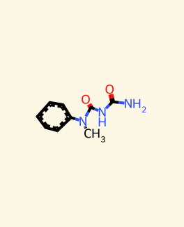 CN(C(=O)NC(N)=O)c1ccccc1